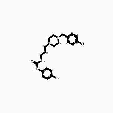 O=C(Nc1ccc(F)cc1)SCCCN1CCN(Cc2ccc(Cl)cc2)CC1